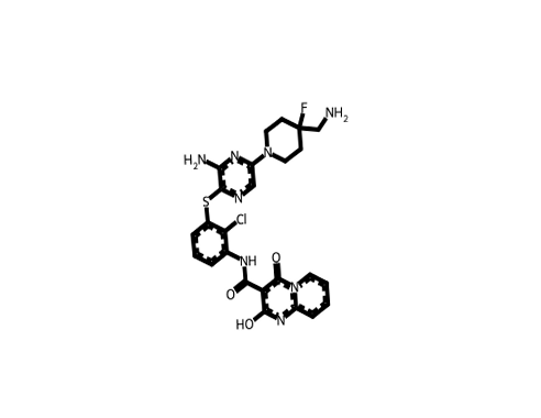 NCC1(F)CCN(c2cnc(Sc3cccc(NC(=O)c4c(O)nc5ccccn5c4=O)c3Cl)c(N)n2)CC1